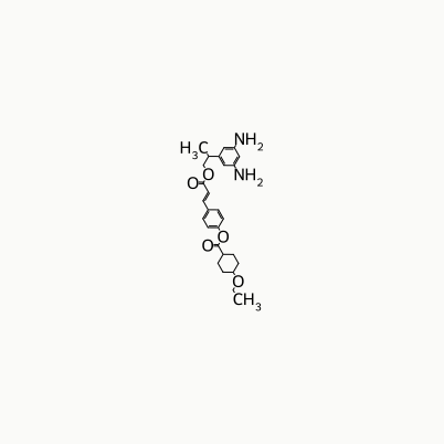 CCOC1CCC(C(=O)Oc2ccc(/C=C/C(=O)OCC(C)c3cc(N)cc(N)c3)cc2)CC1